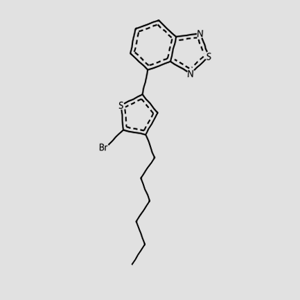 CCCCCCc1cc(-c2cccc3nsnc23)sc1Br